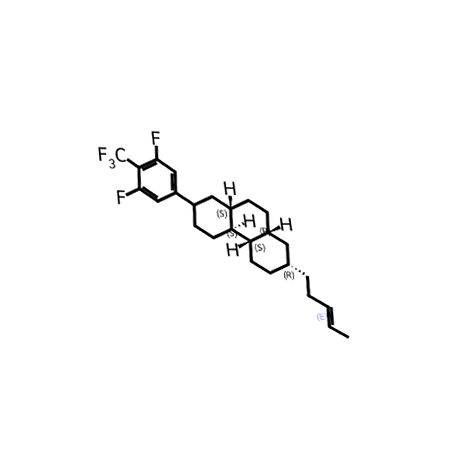 C/C=C/CC[C@@H]1CC[C@H]2[C@H](CC[C@H]3CC(c4cc(F)c(C(F)(F)F)c(F)c4)CC[C@@H]32)C1